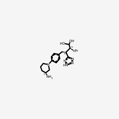 CCC[C@H](C(O)O)[C@H](Cc1ccc(N2CCC[C@H](N)C2)cc1)c1nn[nH]n1